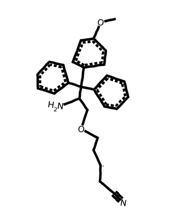 COc1ccc(C(c2ccccc2)(c2ccccc2)C(N)COCC[CH]CC#N)cc1